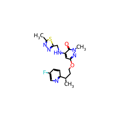 Cc1nnc(CNc2cc(OCC[C@@H](C)c3ccc(F)cn3)nn(C)c2=O)s1